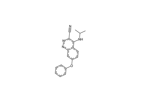 CC(C)Nc1c(C#N)nnc2cc(Oc3ccccc3)ccc12